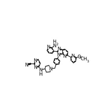 COc1cccc(-c2ccc3nc(-c4cccnc4N)n(-c4ccc(CN5CCC(Nc6ccnc(C#N)n6)CC5)cc4)c3n2)n1